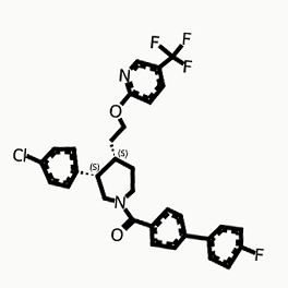 O=C(c1ccc(-c2ccc(F)cc2)cc1)N1CC[C@@H](CCOc2ccc(C(F)(F)F)cn2)[C@@H](c2ccc(Cl)cc2)C1